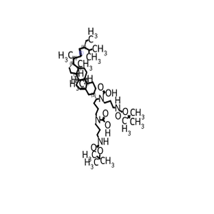 CC[C@H](/C=C/[C@@H](C)[C@H]1CC[C@H]2[C@@H]3CC=C4C[C@@H](C(CCCN(CCCNC(=O)OC(C)(C)C)C(=O)O)N(CCCNC(=O)OC(C)(C)C)C(=O)O)CC[C@]4(C)[C@H]3CC[C@]12C)C(C)C